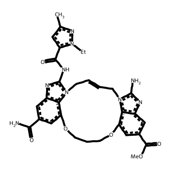 CCn1nc(C)cc1C(=O)Nc1nc2cc(C(N)=O)cc3c2n1C/C=C/Cn1c(N)nc2cc(C(=O)OC)cc(c21)OCCCO3